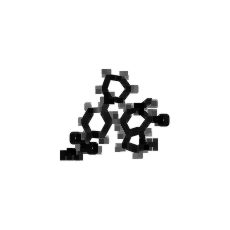 CCCCS(=O)(=O)c1ccc(N2CCCCC2)c(-c2cn(C)c(=O)c3[nH]ccc23)c1